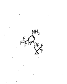 Nc1cc(OCC2(C(F)(F)F)CC2)nc(C(F)(F)F)c1